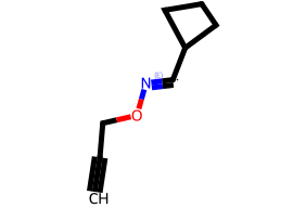 C#CCO/N=[C]/C1CCC1